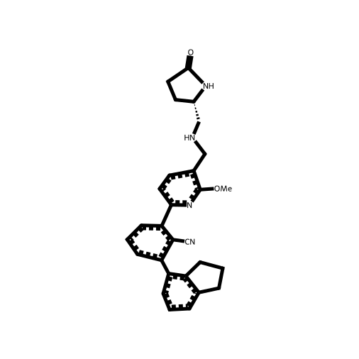 COc1nc(-c2cccc(-c3cccc4c3CCC4)c2C#N)ccc1CNC[C@@H]1CCC(=O)N1